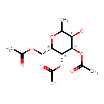 CC(=O)OC[C@@H]1OC(C)[C@@H](O)[C@@H](OC(C)=O)[C@@H]1OC(C)=O